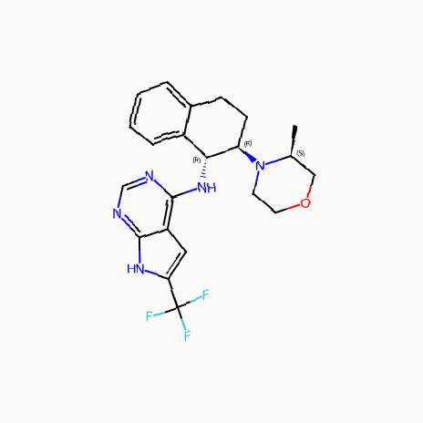 C[C@H]1COCCN1[C@@H]1CCc2ccccc2[C@H]1Nc1ncnc2[nH]c(C(F)(F)F)cc12